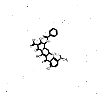 CN(C)c1ccc(O)c2c1[SH]C1CC3C(NC(=S)c4ccccc4)C(O)=C(C(N)=O)C(=O)C3C(O)=C1C2=O